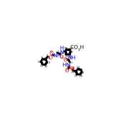 O=C(CNC(=O)OCc1ccccc1)Nc1cc(NC(=O)CNC(=O)OCc2ccccc2)cc(C(=O)O)c1